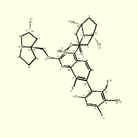 CC(C)(C)OC(=O)N1[C@@H]2CC[C@H]1CN(c1nc(OC[C@@]34CCCN3C[C@H](F)C4)nc3c(F)c(-c4c(F)cc(F)c(N)c4F)ccc13)C2